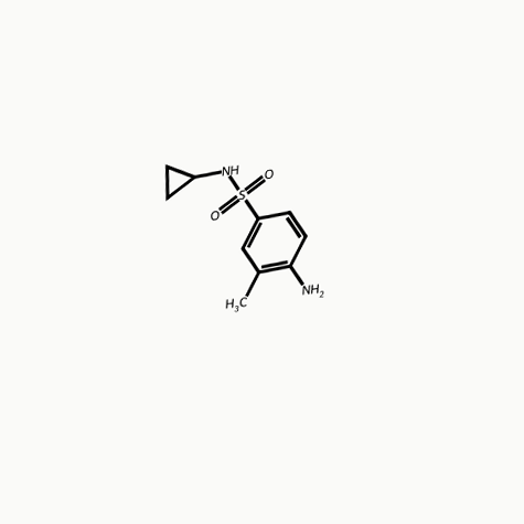 Cc1cc(S(=O)(=O)NC2CC2)ccc1N